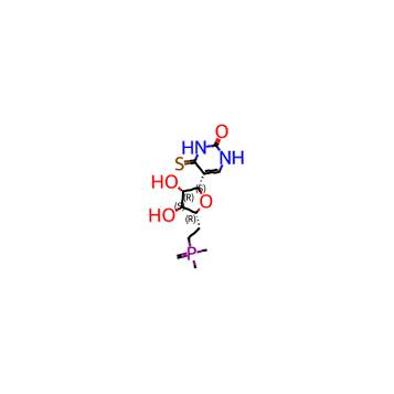 C=P(C)(C)CC[C@H]1O[C@@H](c2c[nH]c(=O)[nH]c2=S)[C@H](O)[C@@H]1O